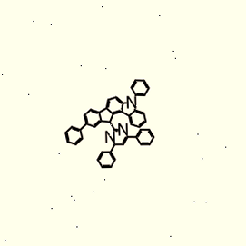 c1ccc(-c2ccc3c(c2)C(c2nc(-c4ccccc4)cc(-c4ccccc4)n2)c2c-3ccc3c2c2ccccc2n3-c2ccccc2)cc1